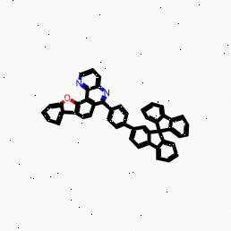 c1ccc2c(c1)-c1ccccc1C21c2ccccc2-c2ccc(-c3ccc(-c4nc5cccnc5c5c4ccc4c6ccccc6oc45)cc3)cc21